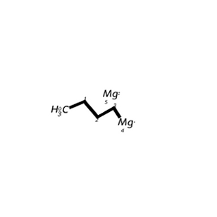 CCC[CH2][Mg].[Mg]